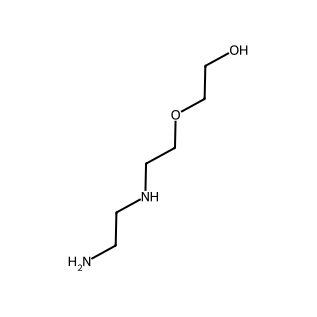 NCCNCCOCCO